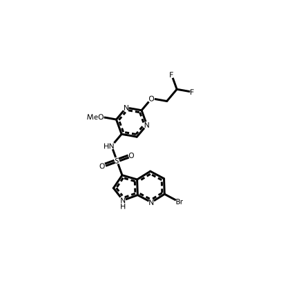 COc1nc(OCC(F)F)ncc1NS(=O)(=O)c1c[nH]c2nc(Br)ccc12